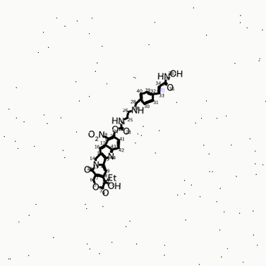 CC[C@@]1(O)C(=O)OCc2c1cc1n(c2=O)Cc2cc3c([N+](=O)[O-])c(OC(=O)NCCNCc4ccc(/C=C/C(=O)NO)cc4)ccc3nc2-1